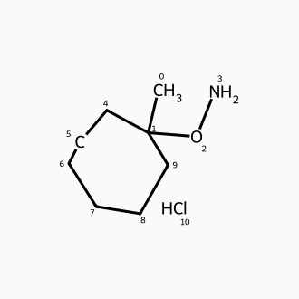 CC1(ON)CCCCCC1.Cl